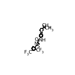 CN(C)C1CCN(c2ccc(NC(=O)c3csc(-c4ccc(C(F)(F)F)cc4C(F)(F)F)n3)cc2)C1